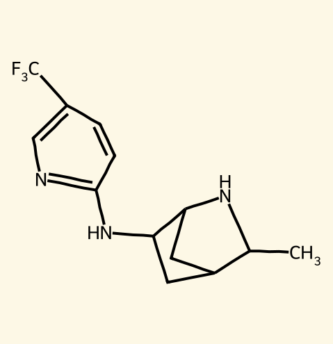 CC1NC2CC1CC2Nc1ccc(C(F)(F)F)cn1